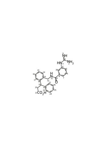 N=C(N)Nc1cccc(C(=O)NCc2ccccc2C(CC(=O)O)c2ccccc2)c1